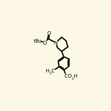 Cc1cc(C2CCCN(C(=O)OC(C)(C)C)C2)ccc1C(=O)O